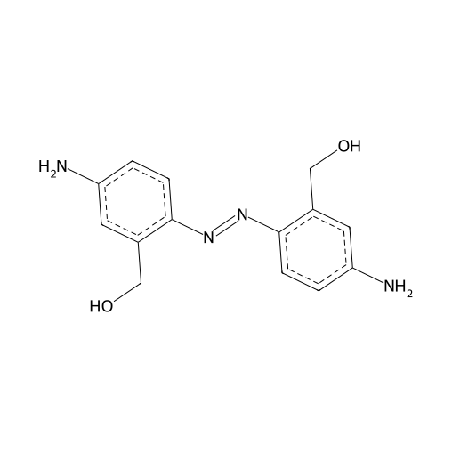 Nc1ccc(/N=N/c2ccc(N)cc2CO)c(CO)c1